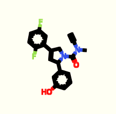 C#CN(C)C(=O)N1CC(c2cc(F)ccc2F)=CC1c1cccc(O)c1